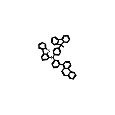 CC1(c2ccc(N(c3cccc(-c4cccc5c4ccc4ccccc45)c3)c3cccc4c3sc3ccccc34)cc2)c2ccccc2C2=CC=CCC21